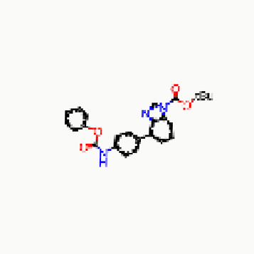 CC(C)(C)OC(=O)n1cnc2c(-c3ccc(NC(=O)Oc4ccccc4)cc3)cccc21